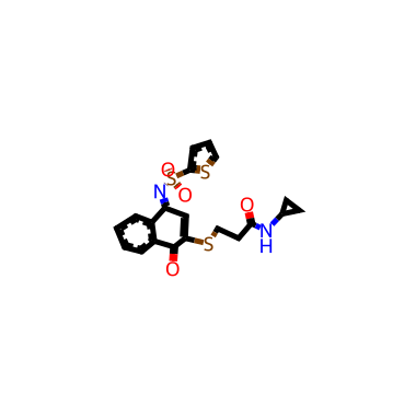 O=C(CCSC1=C/C(=N\S(=O)(=O)c2cccs2)c2ccccc2C1=O)NC1CC1